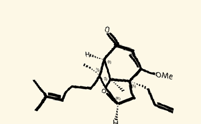 C=CC[C@]12C[C@H]3O[C@@]1(C)[C@H](C(=O)C=C2OC)[C@]3(C)CCC=C(C)C